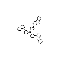 c1cc(-c2cccc3ccccc23)cc(N(c2ccc(-c3ccc4c(c3)oc3ccccc34)cc2)c2cccc(-c3cccc4c3sc3ccccc34)c2)c1